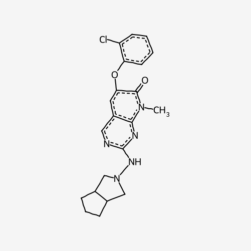 Cn1c(=O)c(Oc2ccccc2Cl)cc2cnc(NN3CC4CCCC4C3)nc21